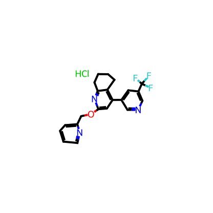 Cl.FC(F)(F)c1cncc(-c2cc(OCc3ccccn3)nc3c2CCCC3)c1